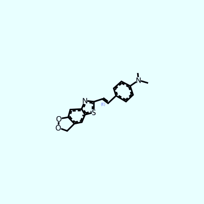 CN(C)c1ccc(/C=C/c2nc3cc4c(cc3s2)COO4)cc1